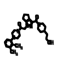 Cc1cccc(N2CCN(C(=O)Cn3nc(C(=O)N4CCC(CCO)CC4)c4c3CCC4)CC2)c1C